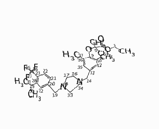 CCOC(=O)C(C)(C)Oc1c(C)cc(CN2CCN(Cc3ccc(C(F)(F)F)c(C(C)C)c3)CC2)cc1C